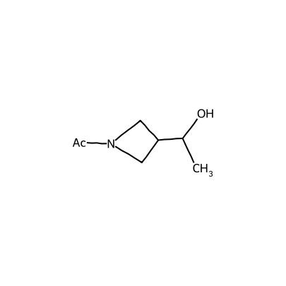 CC(=O)N1CC(C(C)O)C1